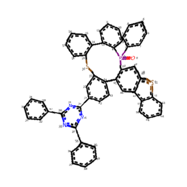 O=P1(c2ccccc2)c2ccccc2-c2ccccc2Sc2cc(-c3nc(-c4ccccc4)nc(-c4ccccc4)n3)ccc2-c2cc3c(cc21)sc1ccccc13